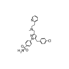 CN(CCc1ccccn1)Cc1cc(Cc2ccc(Cl)cc2)n(-c2ccc(S(N)(=O)=O)cc2)n1